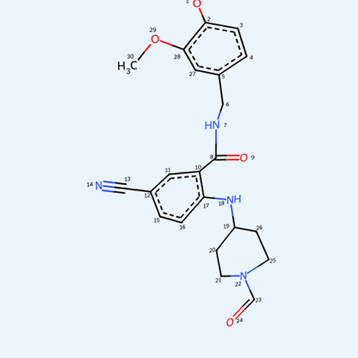 COc1ccc(CNC(=O)c2cc(C#N)ccc2NC2CCN(C=O)CC2)cc1OC